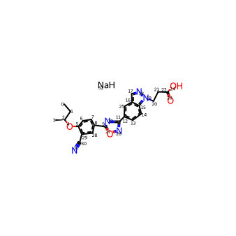 CC[C@H](C)Oc1ccc(-c2nc(-c3ccc4c(cnn4CCC(=O)O)c3)no2)cc1C#N.[NaH]